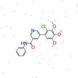 COc1cc(-c2cncc(C(=O)Nc3ccccc3)c2)c(Cl)c(OC)c1OC